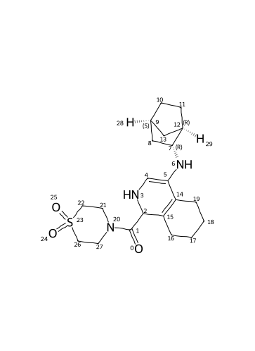 O=C(C1NC=C(N[C@@H]2C[C@H]3CC[C@@H]2C3)C2=C1CCCC2)N1CCS(=O)(=O)CC1